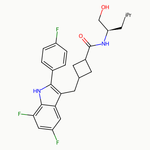 CC(C)C[C@H](CO)NC(=O)C1CC(Cc2c(-c3ccc(F)cc3)[nH]c3c(F)cc(F)cc23)C1